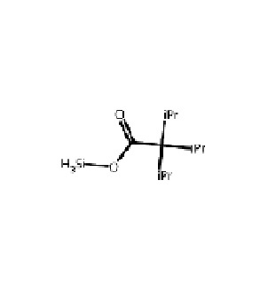 CC(C)C(C(=O)O[SiH3])(C(C)C)C(C)C